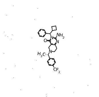 C[C@@H](c1ccc(C(F)(F)F)cc1)N1CCc2nc(N)n(C(c3ccccc3)C3CCC3)c(=O)c2C1